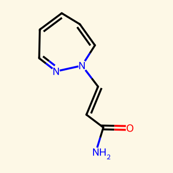 NC(=O)C=CN1C=CC=CC=N1